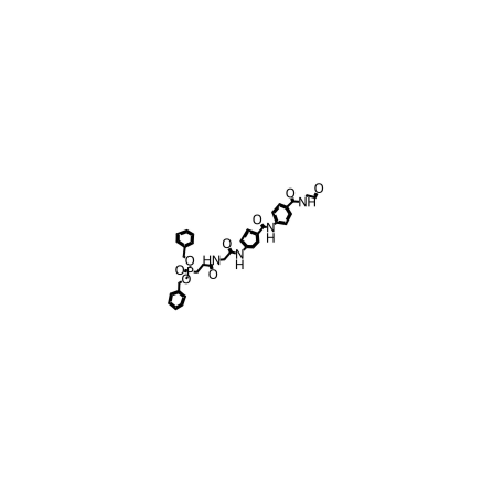 O=CCNC(=O)c1ccc(NC(=O)c2ccc(NC(=O)CNC(=O)CCP(=O)(OCc3ccccc3)OCc3ccccc3)cc2)cc1